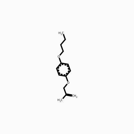 C=C(C)COc1ccc(OCCCC)cc1